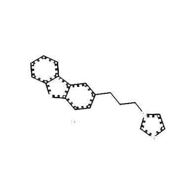 Cl.c1ccc2c(c1)sc1ccc(CCCn3ccnc3)cc12